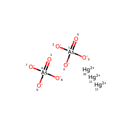 O=[As]([O-])([O-])[O-].O=[As]([O-])([O-])[O-].[Hg+2].[Hg+2].[Hg+2]